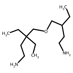 CCC(CCN)COCC(CC)(CC)CCN